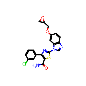 NC(=O)c1sc(-n2cnc3ccc(OCC4CO4)cc32)nc1-c1cccc(Cl)c1